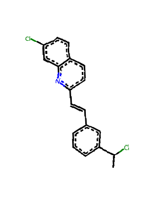 CC(Cl)c1cccc(/C=C/c2ccc3ccc(Cl)cc3n2)c1